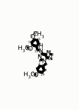 COc1ccc(Cn2cnc(NCc3ccc(OC)cc3OC)c3ncnc2-3)cc1